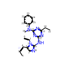 C=Cn1c(/C=C\C)cnc1Nc1nc(CC)nc(N(C)c2ccccc2)n1